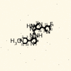 CN1CCC(c2nccc3[nH]c(-c4n[nH]c5cnc(-c6cncc(F)c6)cc45)nc23)CC1